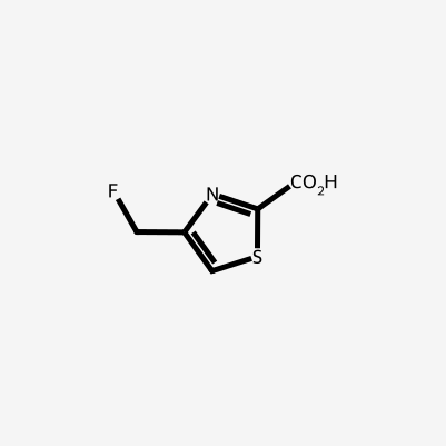 O=C(O)c1nc(CF)cs1